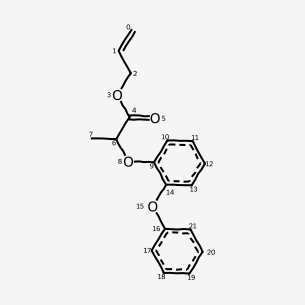 C=CCOC(=O)C(C)Oc1ccccc1Oc1ccccc1